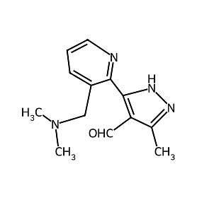 Cc1n[nH]c(-c2ncccc2CN(C)C)c1C=O